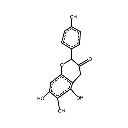 O=C1Cc2c(cc(O)c(O)c2O)OC1c1ccc(O)cc1